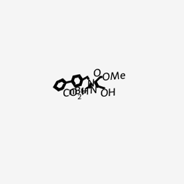 CCCCc1nc(CO)c(C(=O)OC)n1Cc1ccc(-c2ccccc2C(=O)O)cc1